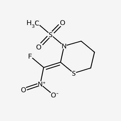 CS(=O)(=O)N1CCCSC1=C(F)[N+](=O)[O-]